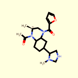 CC(=O)N1C2CCC(C3CNCN3C)CC2N(C(=O)c2ccco2)C[C@@H]1C